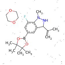 C1COCCO1.C=C(C)C1NN(C)c2c(F)cc(B3OC(C)(C)C(C)(C)O3)cc21